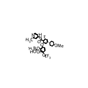 BC(O)(O)Oc1cc(OC(F)(F)F)ccc1Oc1cc([C@H]2CC[C@@H](OC)CC2)cc(F)c1C(=O)Nc1ccnc(C)c1